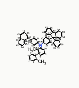 Cc1ccccc1-c1cccc(N(c2ccc(-c3cccc4ccccc34)cc2)c2ccc3c(c2)-c2ccccc2C32c3ccccc3-c3ccccc32)c1C